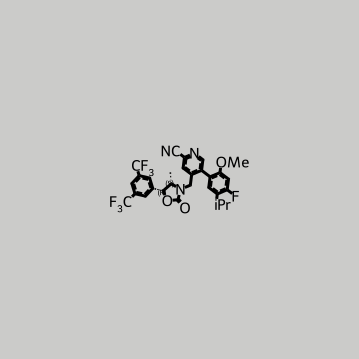 COc1cc(F)c(C(C)C)cc1-c1cnc(C#N)cc1CN1C(=O)O[C@H](c2cc(C(F)(F)F)cc(C(F)(F)F)c2)[C@@H]1C